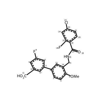 COc1ccc(-c2cc(F)cc(C(=O)O)c2)cc1CNC(=O)c1ccc(Cl)cc1F